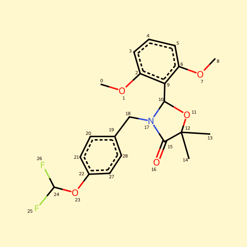 COc1cccc(OC)c1C1OC(C)(C)C(=O)N1Cc1ccc(OC(F)F)cc1